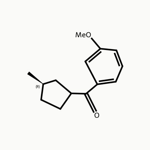 COc1cccc(C(=O)C2CC[C@@H](C)C2)c1